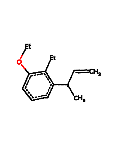 C=C[C](C)c1cccc(OCC)c1CC